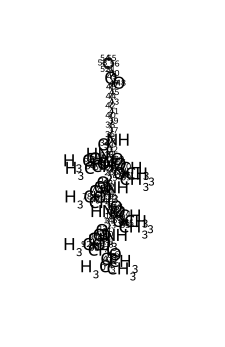 CC(C)(C)OC(=O)CC[C@H](NC(=O)CCC(NC(=O)CC[C@H](NC(=O)CCC(NC(=O)[C@H](CC(=O)NCCCCCCCCCCCC(=O)OCc1ccccc1)NC(=O)OC(C)(C)C)C(=O)OC(C)(C)C)C(=O)OC(C)(C)C)C(=O)OC(C)(C)C)C(=O)OC(C)(C)C